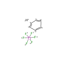 F[P-](F)(F)(F)(F)F.[H+].c1ccccc1